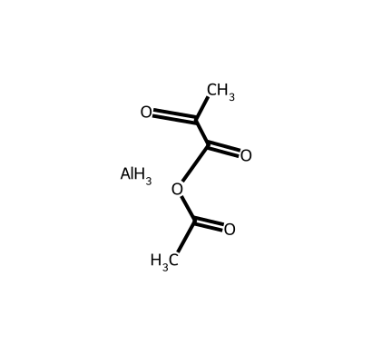 CC(=O)OC(=O)C(C)=O.[AlH3]